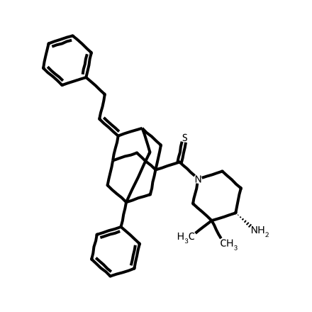 CC1(C)CN(C(=S)C23CC4CC(c5ccccc5)(CC(C2)C4=CCc2ccccc2)C3)CC[C@@H]1N